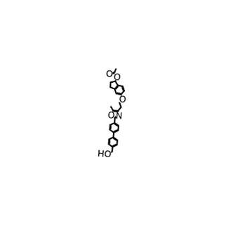 CC(=O)OC1CCc2cc(OCCc3nc(-c4ccc(-c5ccc(CO)cc5)cc4)oc3C)ccc21